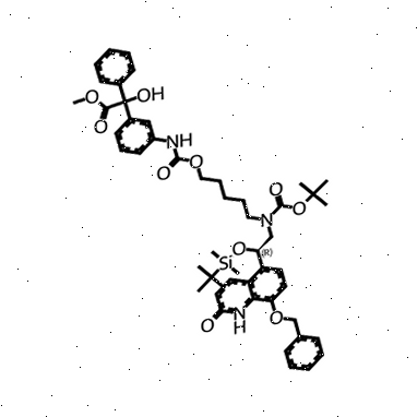 COC(=O)C(O)(c1ccccc1)c1cccc(NC(=O)OCCCCCN(C[C@H](O[Si](C)(C)C(C)(C)C)c2ccc(OCc3ccccc3)c3[nH]c(=O)ccc23)C(=O)OC(C)(C)C)c1